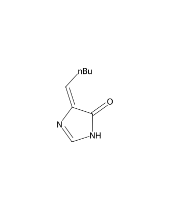 CCCCC=C1N=CNC1=O